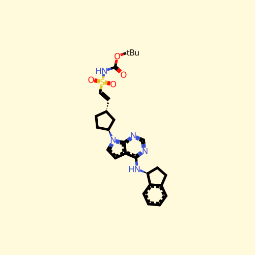 CC(C)(C)OC(=O)NS(=O)(=O)/C=C/[C@H]1CC[C@H](n2ccc3c(N[C@H]4CCc5ccccc54)ncnc32)C1